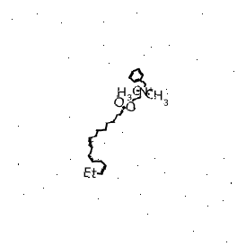 CC/C=C\C/C=C\C/C=C\CCCCCCCC(=O)OCC[N+](C)(C)Cc1ccccc1